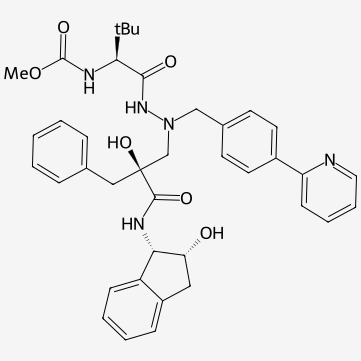 COC(=O)N[C@H](C(=O)NN(Cc1ccc(-c2ccccn2)cc1)C[C@@](O)(Cc1ccccc1)C(=O)N[C@H]1c2ccccc2C[C@H]1O)C(C)(C)C